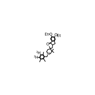 [2H]c1c([2H])c(C)c(CN2CCC(C)(CC3Cc4cc(OCC)c(OCC)cc4C3=O)C(C)(C)C2)c(C)c1C